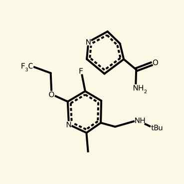 Cc1nc(OCC(F)(F)F)c(F)cc1CNC(C)(C)C.NC(=O)c1ccncc1